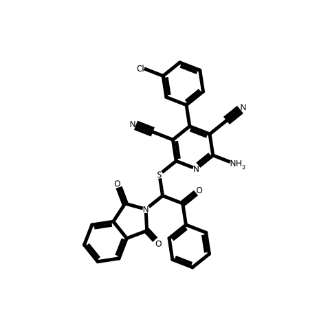 N#Cc1c(N)nc(SC(C(=O)c2ccccc2)N2C(=O)c3ccccc3C2=O)c(C#N)c1-c1cccc(Cl)c1